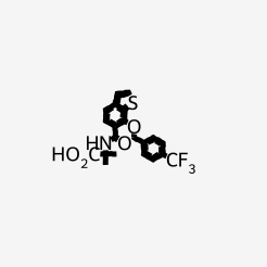 CC(C)(NC(=O)c1ccc2ccsc2c1OCc1ccc(C(F)(F)F)cc1)C(=O)O